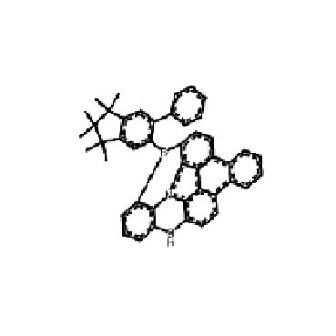 CC1(C)c2cc(B3c4cccc5c4-n4c6c(ccc7c8ccccc8c8ccc3c4c8c76)B5)c(-c3ccccc3)cc2C(C)(C)C1(C)C